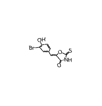 O=C1NC(=S)O/C1=C\c1ccc(O)c(Br)c1